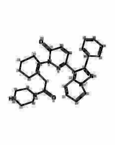 O=C(CC1=C(n2nc(-c3c(-c4ccccc4)nn4ccccc34)ccc2=O)CCCC1)N1CCNCC1